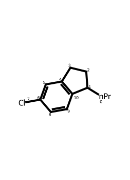 CCCC1CCc2cc(Cl)ccc21